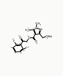 COCc1nn(C)c(N)c1C(=O)OCC(=O)c1c(F)cccc1F